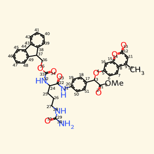 COC(=O)C(Oc1ccc2c(C)cc(=O)oc2c1)c1ccc(NC(=O)C(CCCNC(N)=O)NC(=O)OCC2c3ccccc3-c3ccccc32)cc1